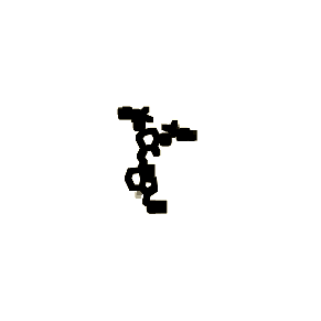 C=C1C(=CC=C2CCC[C@]3(C)C(CO)=CC[C@@H]23)C[C@@H](O[Si](C)(C)C(C)(C)C)C[C@@H]1O[Si](C)(C)C(C)(C)C